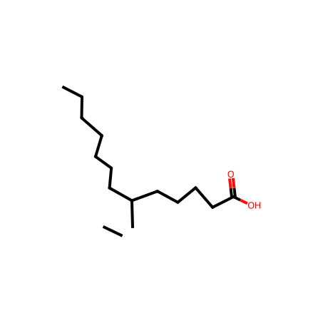 CC.CCCCCCCC(C)CCCCC(=O)O